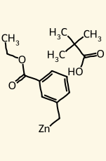 CC(C)(C)C(=O)O.CCOC(=O)c1cccc([CH2][Zn])c1